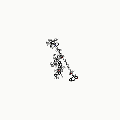 CC(C)[C@H](NC(=O)[C@@H](CCCCNC(=O)COC1CCCCC/C(N[C@@H]2O[C@H](CO)[C@H](O)[C@H](O)[C@H]2O)=C\1N)NC(=O)CCOCCOCCOCCOCCNC(=O)CCC(=O)N1Cc2ccccc2C#Cc2ccccc21)C(=O)N[C@@H](CCCNC(N)=O)C(=O)Nc1ccc2c(c1)[C@@]1(C)CCC[C@](C)(C(=O)NC(=O)[C@@]3(C)CCC[C@]4(C)c5cc(O)ccc5CC[C@@H]34)C1CC2